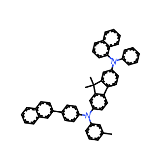 Cc1cccc(N(c2ccc(-c3ccc4ccccc4c3)cc2)c2ccc3c(c2)C(C)(C)c2cc(N(c4ccccc4)c4cccc5ccccc45)ccc2-3)c1